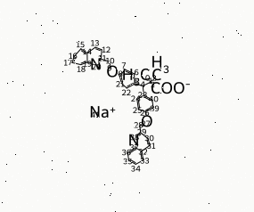 CC(C)(C(=O)[O-])C(c1ccc(OCc2ccc3ccccc3n2)cc1)c1ccc(OCc2ccc3ccccc3n2)cc1.[Na+]